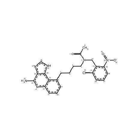 CC(=O)N(CCCCc1cccc2nc(N)c3nc[nH]c3c12)Cc1c(Cl)cccc1[N+](=O)[O-]